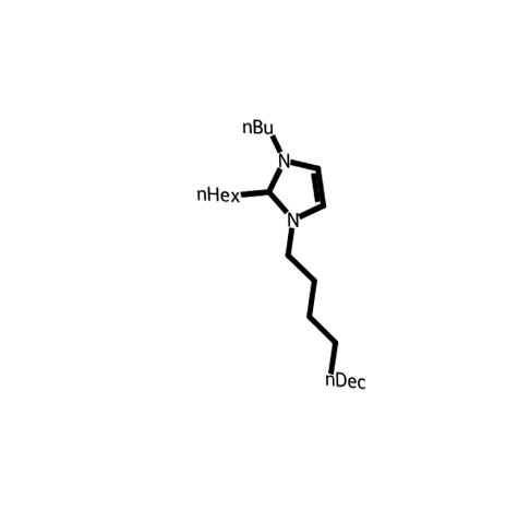 CCCCCCCCCCCCCCN1C=CN(CCCC)C1CCCCCC